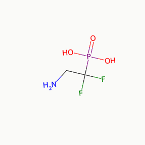 NCC(F)(F)P(=O)(O)O